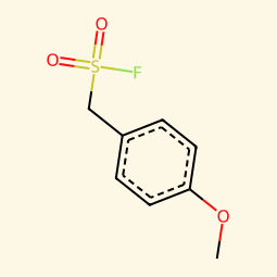 COc1ccc(CS(=O)(=O)F)cc1